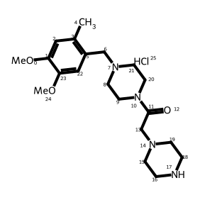 COc1cc(C)c(CN2CCN(C(=O)CN3CCNCC3)CC2)cc1OC.Cl